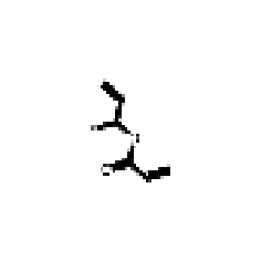 C=CC(=O)OC(F)C=C